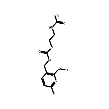 COc1nc(Cl)ccc1CNC(=O)OCCNC(C)=O